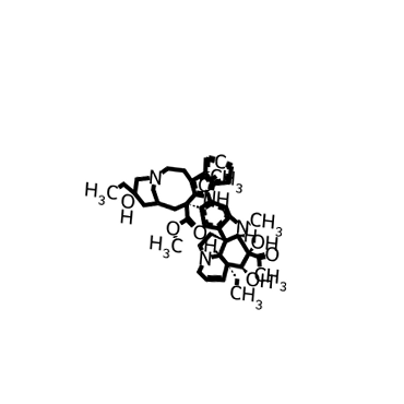 CCC1(O)CC2CN(CCc3c([nH]c4ccccc34)[C@](C(=O)OC)(c3cc4c(cc3OC)N(C)[C@@H]3[C@](O)(C(C)=O)[C@@H](O)[C@@]5(CC)C=CCN6CC[C@@]43[C@H]65)C2)C1